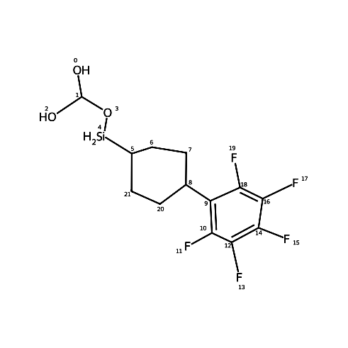 OC(O)O[SiH2]C1CCC(c2c(F)c(F)c(F)c(F)c2F)CC1